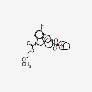 COCCOC(=O)N1CC2(CCN(C3CC4CCC(C3)N4C(=O)O[C@H]3CCOC3)CC2)c2cc(F)ccc21